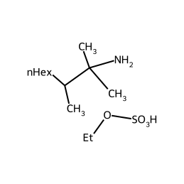 CCCCCCC(C)C(C)(C)N.CCOS(=O)(=O)O